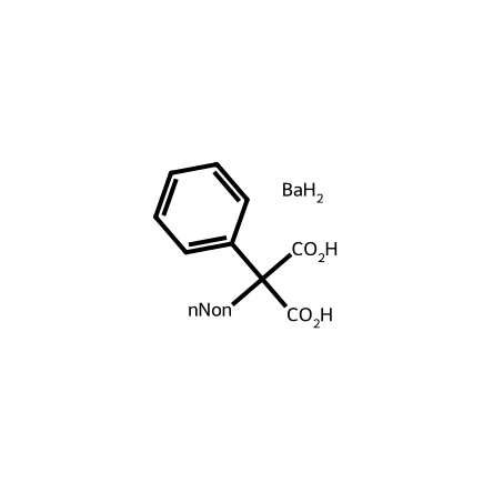 CCCCCCCCCC(C(=O)O)(C(=O)O)c1ccccc1.[BaH2]